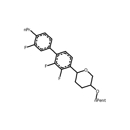 CCCCCOC1CCC(c2ccc(-c3ccc(CCC)c(F)c3)c(F)c2F)OC1